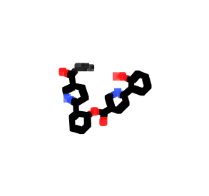 COC(=O)c1ccc(-c2ccccc2OC(=O)c2ccc(-c3ccccc3O)nc2)nc1